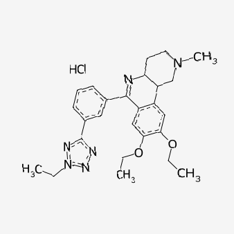 CCOc1cc2c(cc1OCC)C1CN(C)CCC1N=C2c1cccc(-c2nnn(CC)n2)c1.Cl